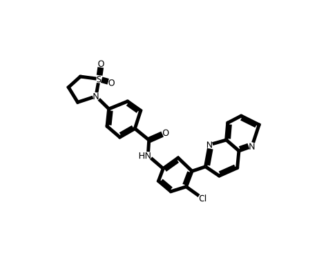 O=C(Nc1ccc(Cl)c(-c2ccc3ncccc3n2)c1)c1ccc(N2CCCS2(=O)=O)cc1